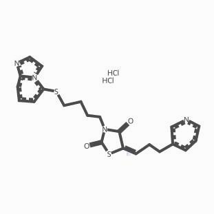 Cl.Cl.O=C1S/C(=C/CCc2cccnc2)C(=O)N1CCCCSc1cccc2nccn12